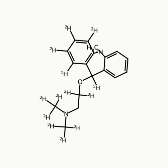 [2H]c1c([2H])c([2H])c(C([2H])(OC([2H])([2H])CN(C([2H])([2H])[2H])C([2H])([2H])[2H])c2ccccc2C)c([2H])c1[2H]